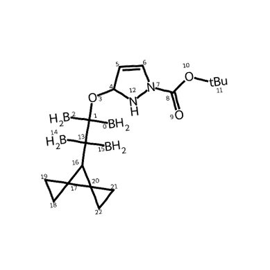 BC(B)(OC1C=CN(C(=O)OC(C)(C)C)N1)C(B)(B)C1C2(CC2)C12CC2